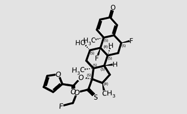 C[C@@H]1C[C@H]2[C@@H]3C[C@H](F)C4=CC(=O)C=C[C@]4(C)[C@@]3(F)[C@@H](O)C[C@]2(C)[C@]1(OC(=O)c1ccco1)C(=S)OCF